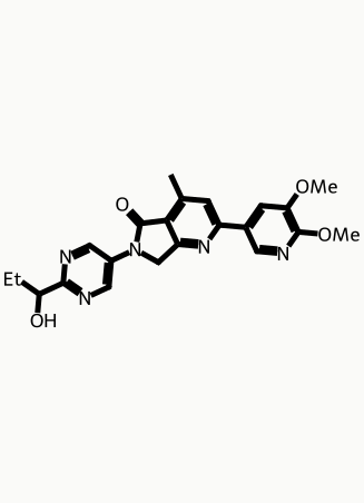 CCC(O)c1ncc(N2Cc3nc(-c4cnc(OC)c(OC)c4)cc(C)c3C2=O)cn1